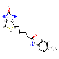 Cc1ccc(NC(=O)CCCCC2SCC3NC(=O)NC32)cc1